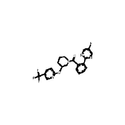 O=C(c1ccccc1-c1ncc(F)cn1)N1CCCC(Oc2ccc(C(F)(F)F)cn2)C1